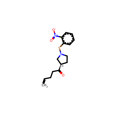 C=CCCC(=O)[C@@H]1CCN(Sc2ccccc2[N+](=O)[O-])C1